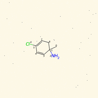 CC1(N)C=CC(Cl)=CC1